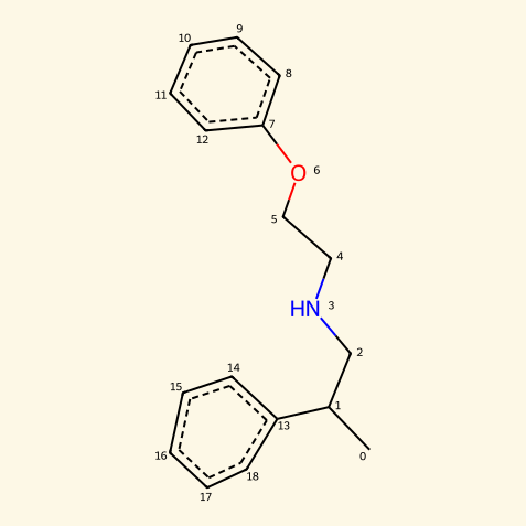 CC(CNCCOc1ccccc1)c1ccccc1